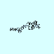 CCOc1cc(CN2CCC3(CC2)CN(c2ccc(C(=O)OC)cc2)C3)cc(OCC)c1-c1ccc(F)cc1